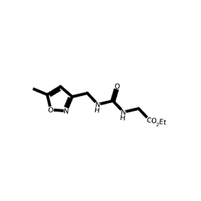 CCOC(=O)CNC(=O)NCc1cc(C)on1